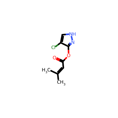 CC(C)=CC(=O)Oc1n[nH]cc1Cl